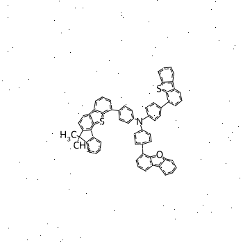 CC1(C)c2ccccc2-c2c1ccc1c2sc2c(-c3ccc(N(c4ccc(-c5cccc6c5oc5ccccc56)cc4)c4ccc(-c5cccc6c5sc5ccccc56)cc4)cc3)cccc21